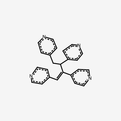 C(=C(c1ccncc1)C(Cc1ccncc1)c1ccncc1)c1ccncc1